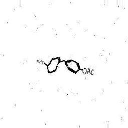 CCCC1CCC(c2ccc(OC(C)=O)cc2)CC1